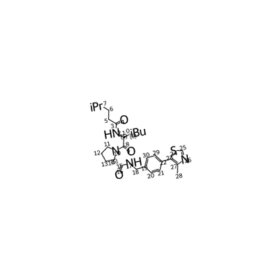 CC[C@H](C)[C@H](NC(=O)CCC(C)C)C(=O)N1CCC[C@H]1C(=O)NCc1ccc(-c2scnc2C)cc1